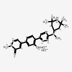 CN(c1ncc(-c2ccc(-c3cnn(C)c(=O)c3)cc2O)nn1)C1CC(C)(C)NC(C)(C)C1.Cl.Cl